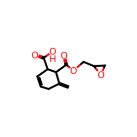 C=C1CC=CC(C(=O)O)C1C(=O)OCC1CO1